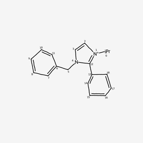 CC(C)[n+]1ccn(Cc2ccccc2)c1-c1ccccc1